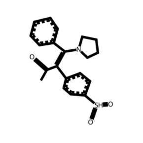 CC(=O)C(=C(c1ccccc1)N1CCCC1)c1ccc([SH](=O)=O)cc1